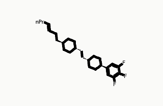 CCC/C=C/CC[C@H]1CC[C@H](CC[C@H]2CC[C@H](c3cc(F)c(F)c(F)c3)CC2)CC1